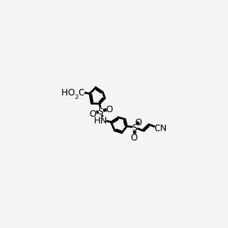 N#CC=CS(=O)(=O)c1ccc(NS(=O)(=O)c2cccc(C(=O)O)c2)cc1